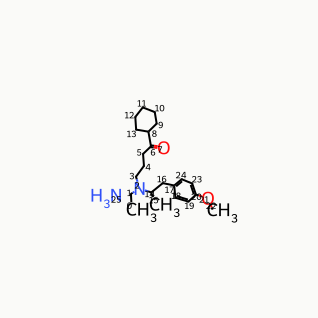 CCN(CCCC(=O)C1CCCCC1)C(C)Cc1ccc(OC)cc1.N